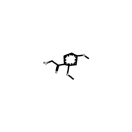 BCC(=O)c1ccc(OC)cc1OC